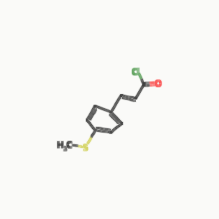 CSc1ccc(C=CC(=O)Cl)cc1